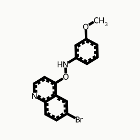 COc1cccc(NOc2ccnc3ccc(Br)cc23)c1